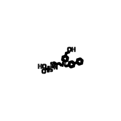 CC(C)(Sc1nc(CCN(Cc2ccc(-c3ccccc3)cc2)c2ccc(CCO)cc2)cs1)C(=O)O